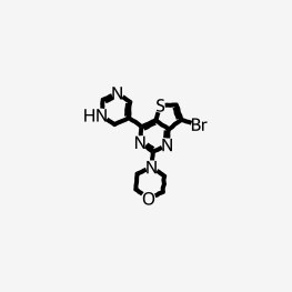 Brc1csc2c(C3=CN=CNC3)nc(N3CCOCC3)nc12